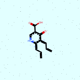 C=C/C=c1/[nH]cc(C(=O)O)c(=O)/c1=C/C=C